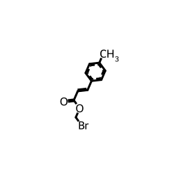 Cc1ccc(C=CC(=O)OCBr)cc1